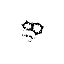 O=CO.[LiH].c1ccc2sccc2c1